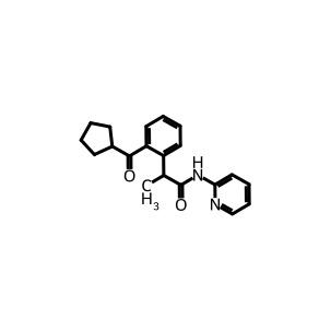 CC(C(=O)Nc1ccccn1)c1ccccc1C(=O)C1CCCC1